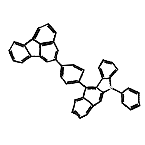 c1ccc(-n2c3ccccc3c3c(-c4ccc(-c5cc6c7c(cccc7c5)-c5ccccc5-6)cc4)c4ccccc4cc32)cc1